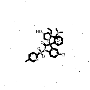 CCOc1ccccc1C1(N2C[C@H](O)C[C@H]2C(=O)N(C)C)C(=O)N(S(=O)(=O)c2ccc(C)cn2)c2ccc(Cl)cc21